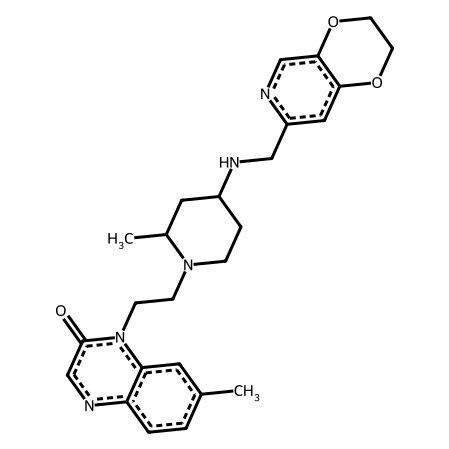 Cc1ccc2ncc(=O)n(CCN3CCC(NCc4cc5c(cn4)OCCO5)CC3C)c2c1